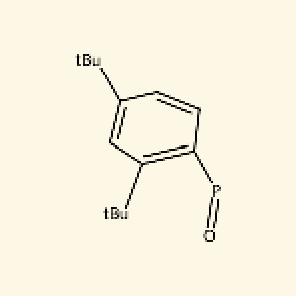 CC(C)(C)c1ccc(P=O)c(C(C)(C)C)c1